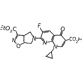 CCOC(=O)C1=NOC2CN(c3nc4c(cc3F)c(=O)c(C(=O)O)cn4C3CC3)CC12